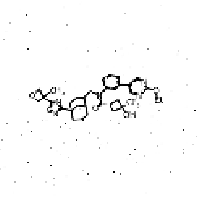 CCOc1ncc(-c2cccc(N(CC3CCC4(c5noc(C6(C)COC6)n5)CCCC3C4)C(=O)[C@H]3C[C@](O)(C(F)(F)F)C3)c2)cn1